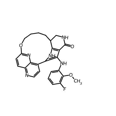 COc1c(F)cccc1Nc1c2[nH]c3c1C(=O)NCC3CCCCOc1ccc3nccc-2c3n1